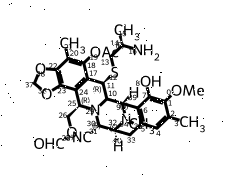 COc1c(C)cc2c(c1O)[C@H]1C3[C@H](SC[C@@H](C)N)c4c(OC(C)=O)c(C)c5c(c4[C@H](COC=O)N3[C@@H](C#N)[C@H](C2)N1C)OCO5